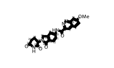 COc1ccc2cc(C(=O)Nc3ccc4c(c3)CN(C3CCC(=O)NC3=O)C4=O)nnc2c1